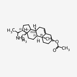 CC(=O)OC1CC[C@@]2(C)C(=CC[C@H]3[C@@H]4CC[C@H](C(C)N)[C@@]4(C)CC[C@@H]32)C1